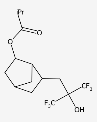 CC(C)C(=O)OC1CC2CC(CC(O)(C(F)(F)F)C(F)(F)F)C1C2